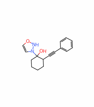 OC1(N2C=CON2)CCCCC1C#Cc1ccccc1